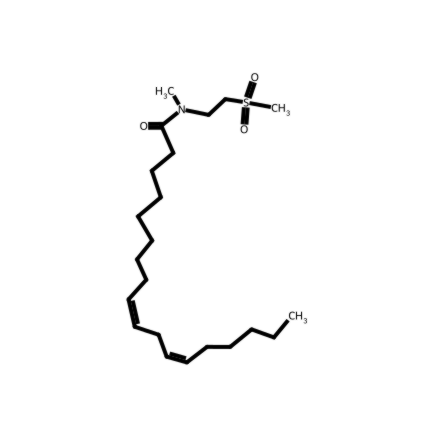 CCCCC/C=C\C/C=C\CCCCCCCC(=O)N(C)CCS(C)(=O)=O